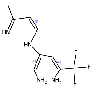 CC(=N)/C=C\NC(/C=C(\N)C(F)(F)F)=C/N